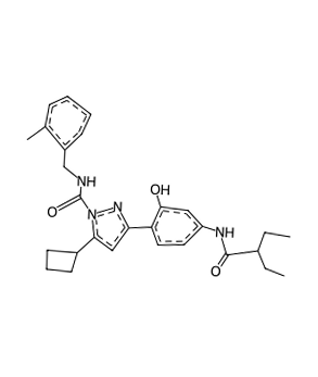 CCC(CC)C(=O)Nc1ccc(-c2cc(C3CCC3)n(C(=O)NCc3ccccc3C)n2)c(O)c1